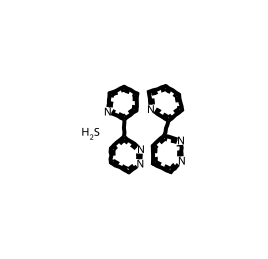 S.c1ccc(-c2cccnn2)nc1.c1ccc(-c2cccnn2)nc1